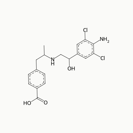 CC(Cc1ccc(C(=O)O)cc1)NCC(O)c1cc(Cl)c(N)c(Cl)c1